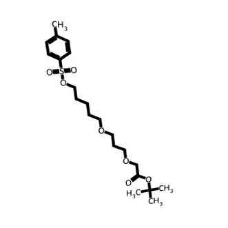 Cc1ccc(S(=O)(=O)OCCCCCOCCCOCC(=O)OC(C)(C)C)cc1